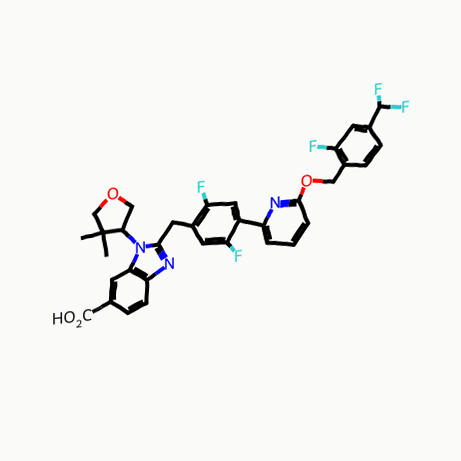 CC1(C)COCC1n1c(Cc2cc(F)c(-c3cccc(OCc4ccc(C(F)F)cc4F)n3)cc2F)nc2ccc(C(=O)O)cc21